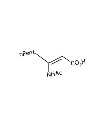 CCCCCC(=CC(=O)O)NC(C)=O